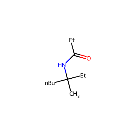 CCCCC(C)(CC)NC(=O)CC